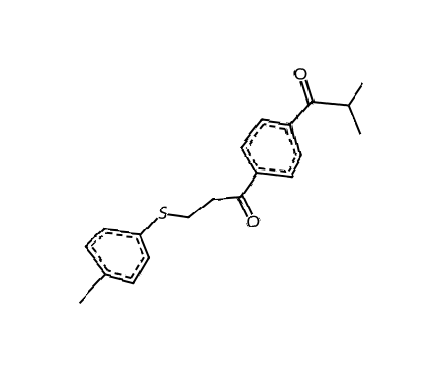 Cc1ccc(SCCC(=O)c2ccc(C(=O)C(C)C)cc2)cc1